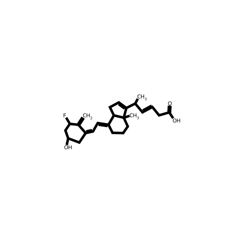 C=C1/C(=C\C=C2/CCCC3(C)C(C(C)/C=C/CC(=O)O)=CCC23)CC(O)CC1F